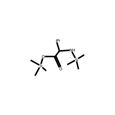 CC(C)C(N[Si](C)(C)C)C(=O)O[Si](C)(C)C